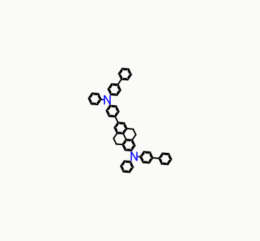 c1ccc(-c2ccc(N(c3ccccc3)c3ccc(-c4cc5c6c(c4)CCc4cc(N(c7ccccc7)c7ccc(-c8ccccc8)cc7)cc(c4-6)CC5)cc3)cc2)cc1